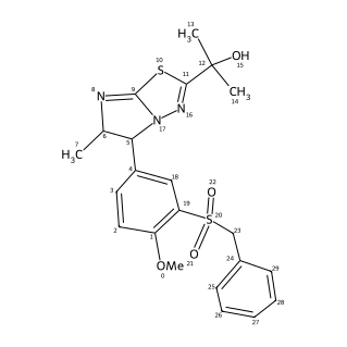 COc1ccc(C2C(C)N=C3SC(C(C)(C)O)=NN32)cc1S(=O)(=O)Cc1ccccc1